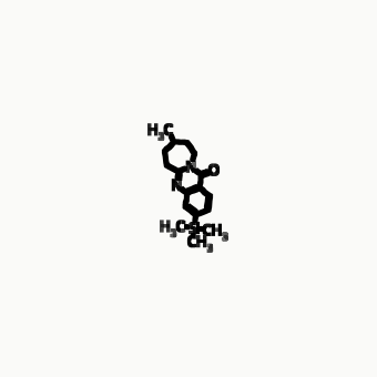 CC1CCc2nc3cc([Si](C)(C)C)ccc3c(=O)n2CC1